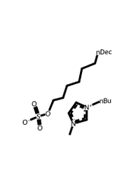 CCCCCCCCCCCCCCCCOS(=O)(=O)[O-].CCCC[n+]1ccn(C)c1